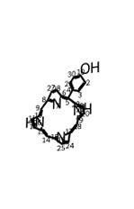 Oc1ccc(-c2c3nc(cc4ccc(cc5nc(cc6ccc2[nH]6)C=C5)[nH]4)C=C3)cc1